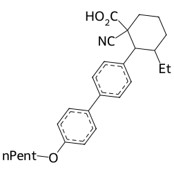 CCCCCOc1ccc(-c2ccc(C3C(CC)CCCC3(C#N)C(=O)O)cc2)cc1